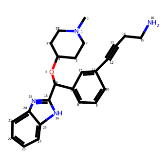 CN1CCC(OC(c2cccc(C#CCCN)c2)c2nc3ccccc3[nH]2)CC1